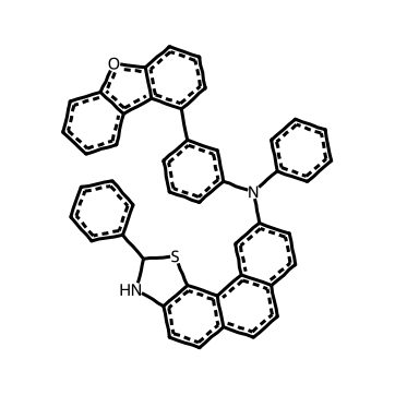 c1ccc(C2Nc3ccc4ccc5ccc(N(c6ccccc6)c6cccc(-c7cccc8oc9ccccc9c78)c6)cc5c4c3S2)cc1